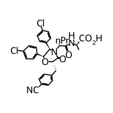 CCC[C@H](C(=O)N[C@H](C)C(=O)O)N1C(=O)[C@H](Cc2ccc(C#N)cc2)O[C@@H](c2ccc(Cl)cc2)[C@H]1c1ccc(Cl)cc1